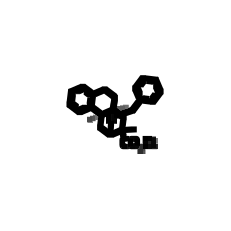 CCOC(=O)C1(C)C[C@]2(C)C3Cc4ccccc4[C@]2(C)CC1N3Cc1ccccc1